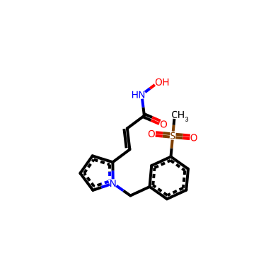 CS(=O)(=O)c1cccc(Cn2cccc2C=CC(=O)NO)c1